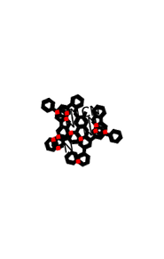 N#Cc1c(-n2c3ccccc3c3ccccc32)c(-n2c3ccc(-c4ccccc4)cc3c3cc(-c4ccccc4)ccc32)c(-c2ccc3c(c2)c2ccccc2n3-c2ccccc2)c(-n2c3ccc(-c4ccccc4)cc3c3cc(-c4ccccc4)ccc32)c1-n1c2ccccc2c2ccccc21